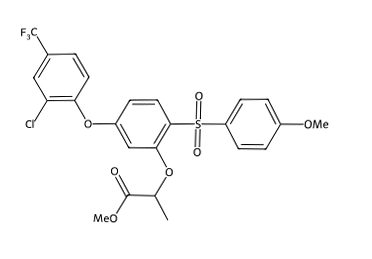 COC(=O)C(C)Oc1cc(Oc2ccc(C(F)(F)F)cc2Cl)ccc1S(=O)(=O)c1ccc(OC)cc1